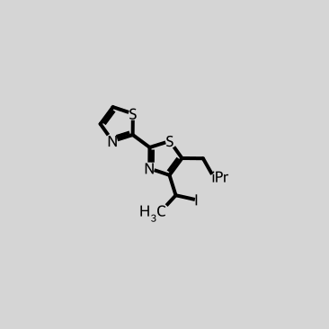 CC(C)Cc1sc(-c2nccs2)nc1C(C)I